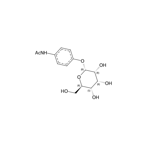 CC(=O)Nc1ccc(O[C@H]2O[C@H](CO)[C@@H](O)[C@@H](O)[C@H]2O)cc1